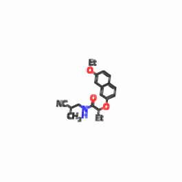 CCOc1ccc2ccc(OC(CC)C(=O)NCC(C)C#N)cc2c1